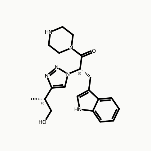 C[C@@H](CO)c1cn([C@@H](Cc2c[nH]c3ccccc23)C(=O)N2CCNCC2)nn1